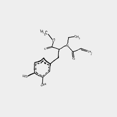 C=CC(=O)N(CC)C(Cc1ccc(O)c(O)c1)C(=O)OC